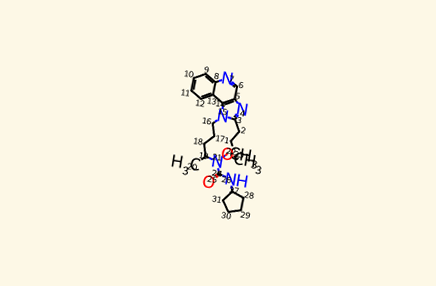 CCCc1nc2cnc3ccccc3c2n1CCCC(C)N(OC)C(=O)NC1CCCC1